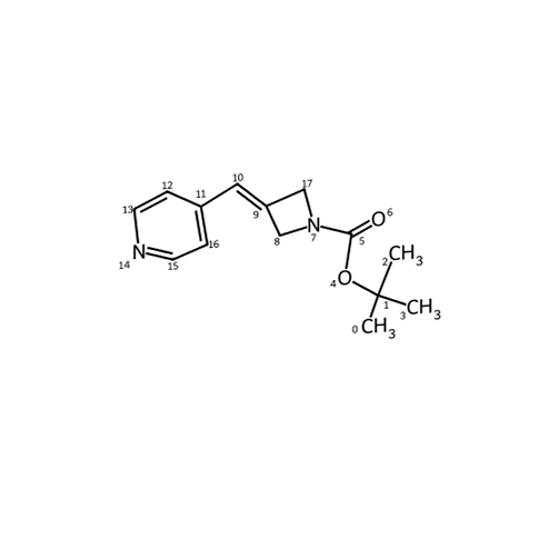 CC(C)(C)OC(=O)N1CC(=Cc2ccncc2)C1